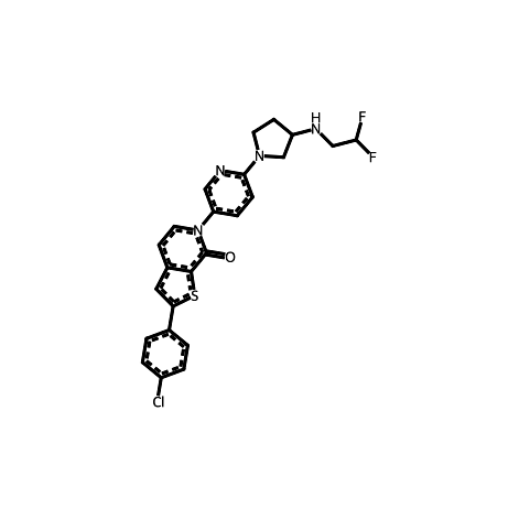 O=c1c2sc(-c3ccc(Cl)cc3)cc2ccn1-c1ccc(N2CCC(NCC(F)F)C2)nc1